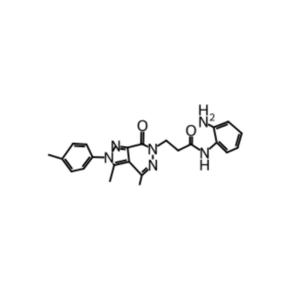 Cc1ccc(-n2nc3c(=O)n(CCC(=O)Nc4ccccc4N)nc(C)c3c2C)cc1